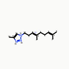 CC(C)=CCC/C(C)=C/CCn1cc(C)nn1